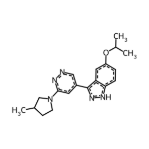 CC1CCN(c2cc(-c3n[nH]c4ccc(OC(C)C)cc34)cnn2)C1